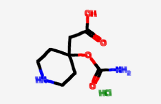 Cl.NC(=O)OC1(CC(=O)O)CCNCC1